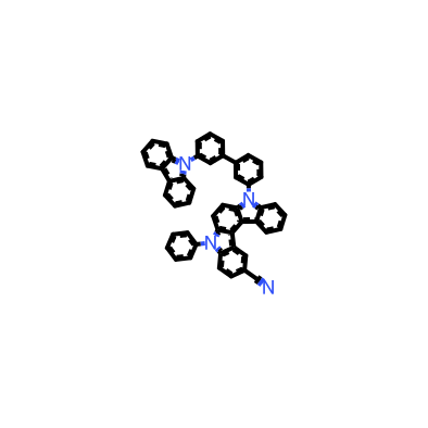 N#Cc1ccc2c(c1)c1c3c4ccccc4n(-c4cccc(-c5cccc(-n6c7ccccc7c7ccccc76)c5)c4)c3ccc1n2-c1ccccc1